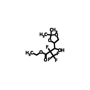 CCOC(=O)C(F)(C(O)C1COC(C)(C)O1)C(F)(F)F